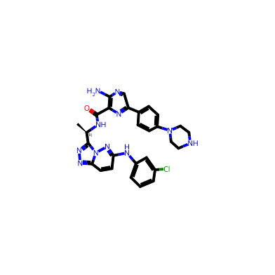 C[C@@H](NC(=O)c1nc(-c2ccc(N3CCNCC3)cc2)cnc1N)c1nnc2ccc(Nc3cccc(Cl)c3)nn12